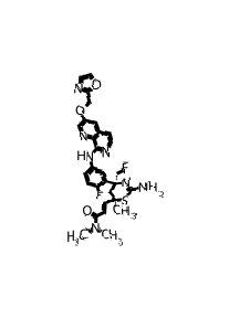 CN(C)C(=O)/C=C/[C@@]1(C)C[C@@](CF)(c2cc(Nc3nccc4cc(OCc5ncco5)cnc34)ccc2F)N=C(N)S1